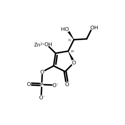 O=C1O[C@H]([C@@H](O)CO)C(O)=C1OP(=O)([O-])[O-].[Zn+2]